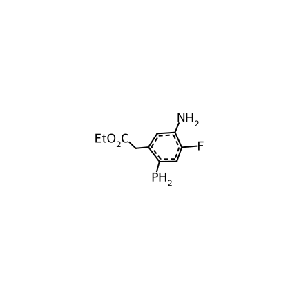 CCOC(=O)Cc1cc(N)c(F)cc1P